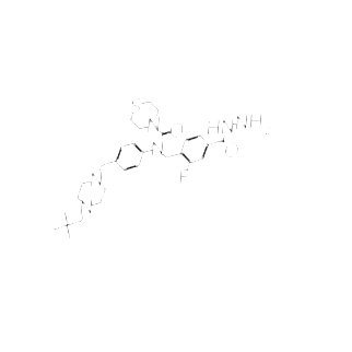 CC(C)(C)CN1CCN(Cc2ccc(N(Cc3ccc(C(=O)NN)cc3F)C(=O)N3CCSCC3)cc2)CC1